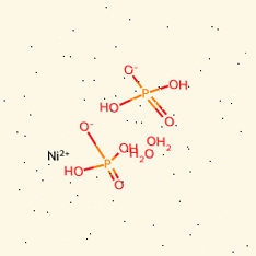 O.O.O=P([O-])(O)O.O=P([O-])(O)O.[Ni+2]